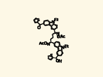 CCn1c2ccc(C(=O)c3cccs3)cc2c2cc(/C(CCC/C(=N\OC(C)=O)c3ccc4c(c3)c3cc(C(O)c5cccs5)ccc3n4CC)=N/OC(C)=O)ccc21